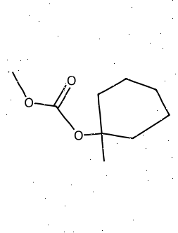 [CH2]OC(=O)OC1(C)CCCCC1